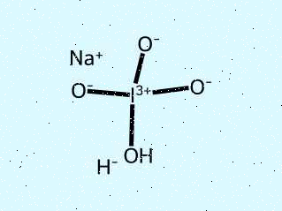 [H-].[Na+].[O-][I+3]([O-])([O-])O